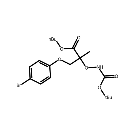 CCCCOC(=O)C(C)(COc1ccc(Br)cc1)ONC(=O)OC(C)(C)C